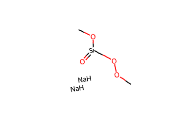 COO[Si](=O)OC.[NaH].[NaH]